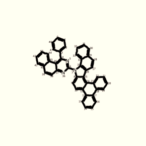 c1ccc(-c2nc(-n3c4ccc5c6ccccc6c6ccccc6c5c4c4ccc5ccccc5c43)nc3ccc4ccccc4c23)cc1